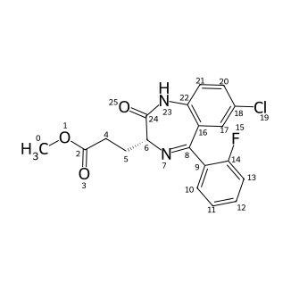 COC(=O)CC[C@H]1N=C(c2ccccc2F)c2cc(Cl)ccc2NC1=O